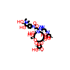 CC[C@H]1OC(=O)[C@H](C)[C@@H](O[C@@H]2C[C@@](C)(OC)[C@@H](O)[C@H](C)O2)[C@H](C)[C@@H](O[C@@H]2O[C@H](C)C[C@H](N(C)CCc3cn(CC4CN(c5ccc([C@H](O)[C@@H](CO)N(CC)CC)cc5)C(=O)O4)nn3)[C@H]2O)[C@](C)(O)C[C@@H](C)CN(C)[C@H](C)[C@@H](O)[C@]1(C)O